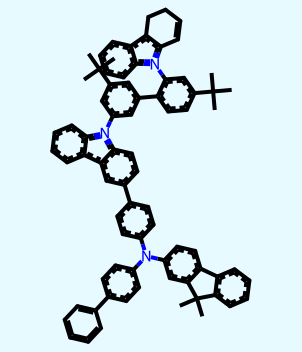 CC(C)(C)c1cc(-c2ccc(C(C)(C)C)cc2-n2c3c(c4ccccc42)CCC=C3)cc(-n2c3ccccc3c3cc(-c4ccc(N(c5ccc(C6=CC=C=C=C6)cc5)c5ccc6c(c5)C(C)(C)c5ccccc5-6)cc4)ccc32)c1